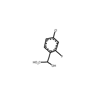 O=C(O)C(O)c1ccc(Cl)cc1F